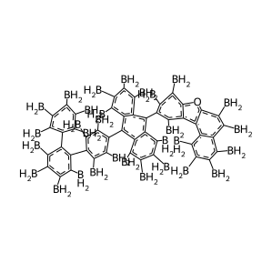 Bc1c(B)c(B)c(-c2c(B)c(B)c(B)c(B)c2-c2c(B)c(B)c(-c3c4c(B)c(B)c(B)c(B)c4c(-c4c(B)c(B)c5oc6c(B)c(B)c7c(B)c(B)c(B)c(B)c7c6c5c4B)c4c(B)c(B)c(B)c(B)c34)c(B)c2B)c(B)c1B